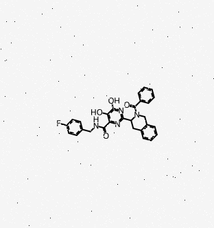 O=C(NCc1ccc(F)cc1)c1nc(C2Cc3ccccc3CN2C(=O)c2ccccc2)nc(O)c1O